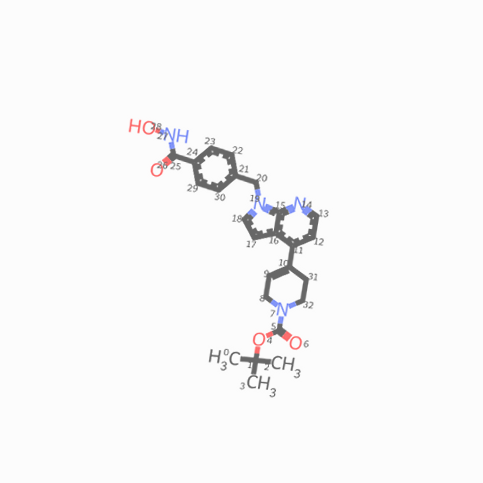 CC(C)(C)OC(=O)N1CC=C(c2ccnc3c2ccn3Cc2ccc(C(=O)NO)cc2)CC1